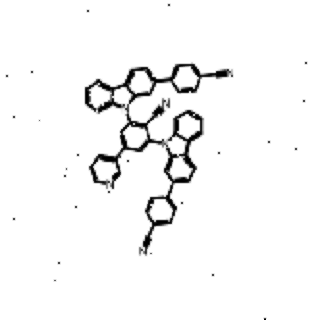 N#Cc1ccc(-c2ccc3c4ccccc4n(-c4cc(-c5cccnc5)cc(-n5c6ccccc6c6ccc(-c7ccc(C#N)cc7)cc65)c4C#N)c3c2)cc1